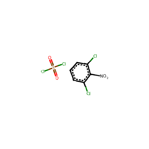 O=S(=O)(Cl)Cl.O=[N+]([O-])c1c(Cl)cccc1Cl